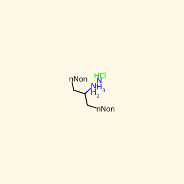 CCCCCCCCCCC(N)CCCCCCCCCC.Cl.N